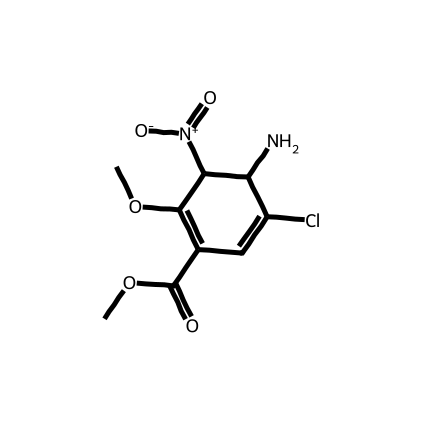 COC(=O)C1=C(OC)C([N+](=O)[O-])C(N)C(Cl)=C1